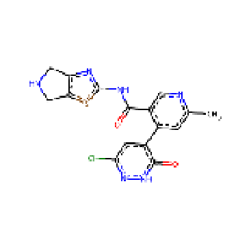 Cc1cc(-c2cc(Cl)n[nH]c2=O)c(C(=O)Nc2nc3c(s2)CNC3)cn1